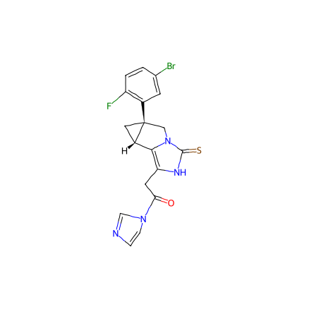 O=C(Cc1[nH]c(=S)n2c1[C@@H]1C[C@]1(c1cc(Br)ccc1F)C2)n1ccnc1